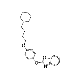 [CH](CCOc1ccc(Oc2nc3ccccc3o2)cc1)CC1CCCCC1